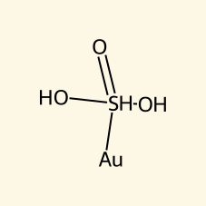 O=[SH](O)(O)[Au]